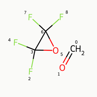 C=O.FC1(F)OC1(F)F